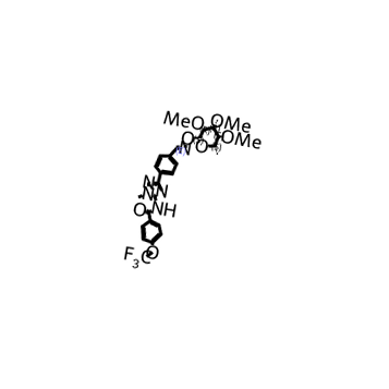 CO[C@@H]1[C@@H](OC)[C@H](C)O[C@@H](O/N=C/c2ccc(-c3nc(NC(=O)c4ccc(OC(F)(F)F)cc4)n(C)n3)cc2)[C@@H]1OC